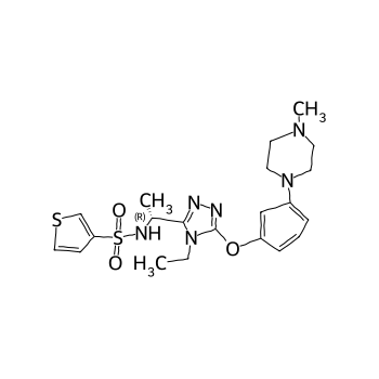 CCn1c(Oc2cccc(N3CCN(C)CC3)c2)nnc1[C@@H](C)NS(=O)(=O)c1ccsc1